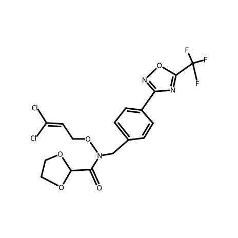 O=C(C1OCCO1)N(Cc1ccc(-c2noc(C(F)(F)F)n2)cc1)OCC=C(Cl)Cl